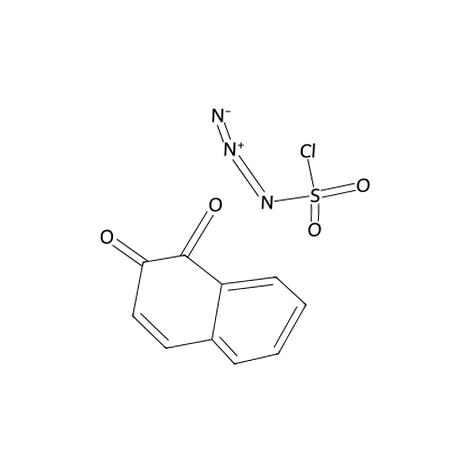 O=C1C=Cc2ccccc2C1=O.[N-]=[N+]=NS(=O)(=O)Cl